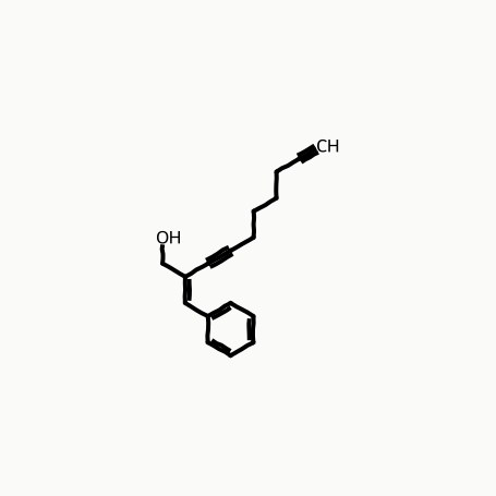 C#CCCCCC#C/C(=C\c1ccccc1)CO